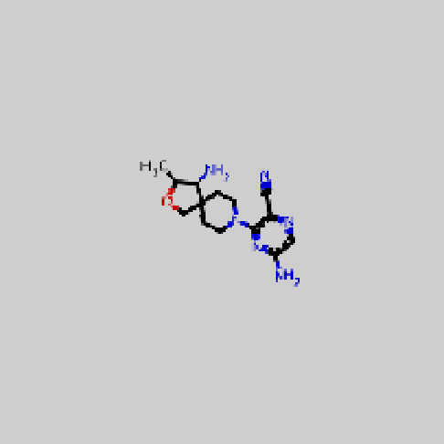 C[C@@H]1OCC2(CCN(c3nc(N)cnc3C#N)CC2)[C@@H]1N